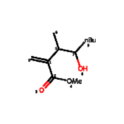 C=C(C(=O)OC)C(C)C(O)CCCC